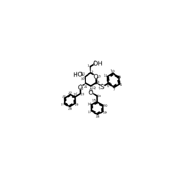 OC[C@H]1O[C@@H](Sc2ccccc2)[C@H](OCc2ccccc2)[C@@H](OCc2ccccc2)[C@@H]1O